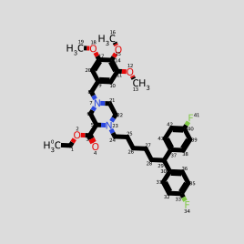 CCOC(=O)C1CN(Cc2cc(OC)c(OC)c(OC)c2)CCN1CCCCCC(c1ccc(F)cc1)c1ccc(F)cc1